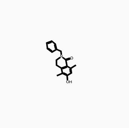 Cc1cc(O)c(C)c2c1C(=O)N(Cc1ccccc1)CC2